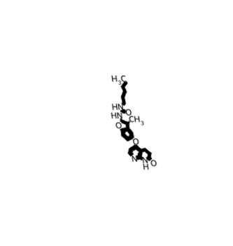 CCCCCCNC(=O)N[C@@H]1Oc2ccc(Oc3ccnc4c3CCC(=O)N4)cc2[C@@H]1C